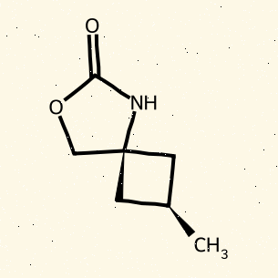 C[C@H]1C[C@]2(COC(=O)N2)C1